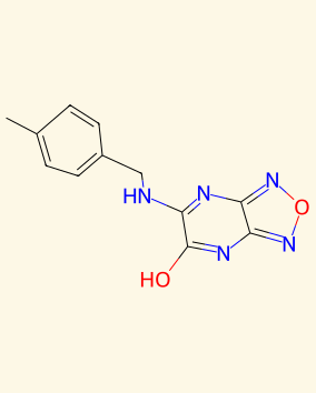 Cc1ccc(CNc2nc3nonc3nc2O)cc1